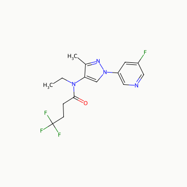 CCN(C(=O)CCC(F)(F)F)c1cn(-c2cncc(F)c2)nc1C